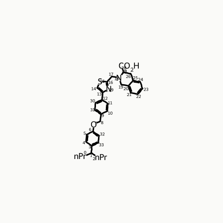 CCCC(CCC)c1ccc(OCc2ccc(-c3csc(CN4Cc5ccccc5C[C@@H]4C(=O)O)n3)cc2)cc1